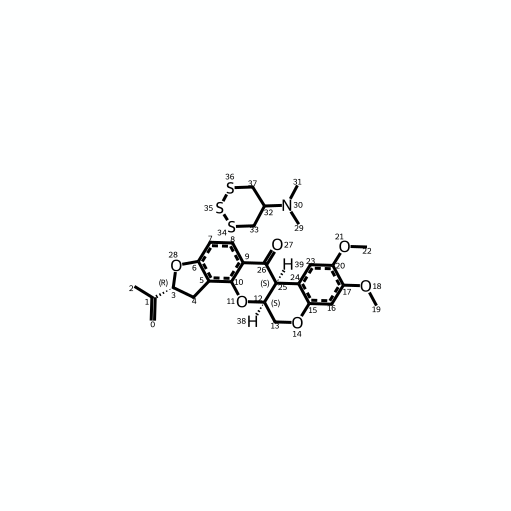 C=C(C)[C@H]1Cc2c(ccc3c2O[C@@H]2COc4cc(OC)c(OC)cc4[C@@H]2C3=O)O1.CN(C)C1CSSSC1